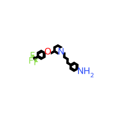 Nc1ccc(CCCCN2CCCC(COc3ccc(C(F)(F)F)cc3)C2)cc1